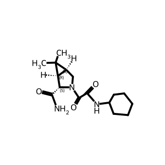 CC1(C)[C@@H]2[C@@H](C(N)=O)N(C(=O)C(=O)NC3CCCCC3)C[C@@H]21